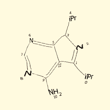 CC(C)C1=NC(C(C)C)c2ncnc(N)c21